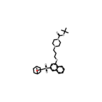 CC(C)(C)OC(=O)N1CCN(CCCOc2cc(S(=O)(=O)N3CC4CCC(CC4)C3)cc3ccccc23)CC1